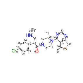 CC(C)NCC(C(=O)N1CCN(c2ncnc3c2[C@H](C)SC3)[C@@H](C)C1)c1ccc(Cl)cc1